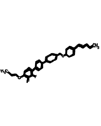 CCCCCC1CCC(OCC2CCC(c3ccc(-c4ccc(OCCC)c(F)c4F)cc3)CC2)CC1